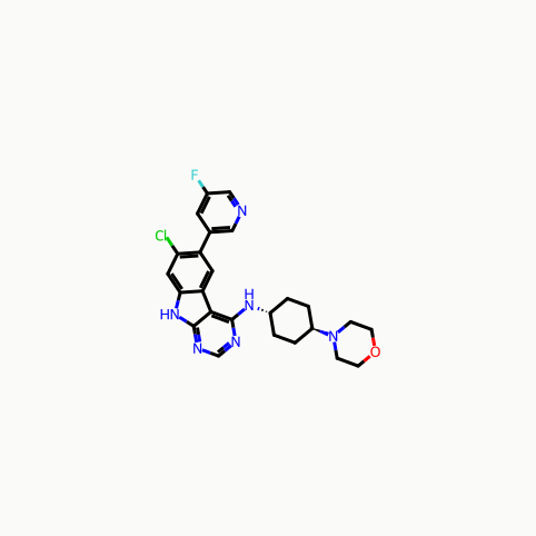 Fc1cncc(-c2cc3c(cc2Cl)[nH]c2ncnc(N[C@H]4CC[C@H](N5CCOCC5)CC4)c23)c1